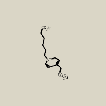 CCOC(=O)Cc1cc[n+](CCCCCC(=O)O)cc1